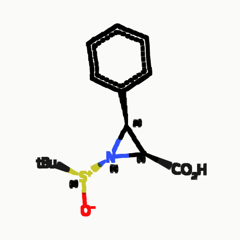 CC(C)(C)[S@+]([O-])[N@]1[C@H](C(=O)O)[C@@H]1c1ccccc1